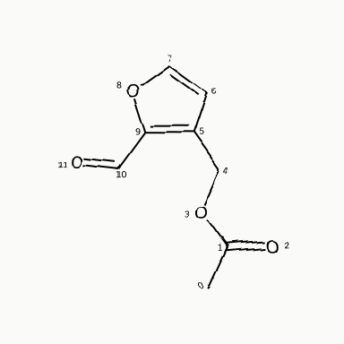 CC(=O)OCc1ccoc1C=O